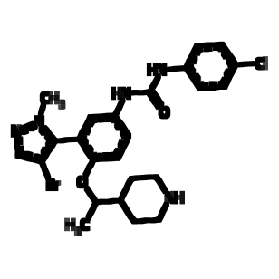 CC(Oc1ccc(NC(=O)Nc2ccc(Cl)cc2)cc1-c1c(Br)cnn1C)C1CCNCC1